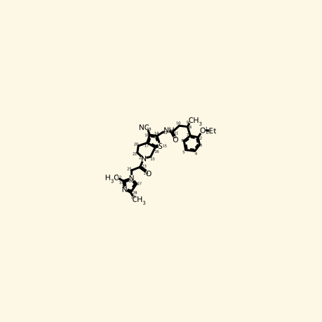 CCOc1ccccc1C(C)CC(=O)Nc1sc2c(c1C#N)CCN(C(=O)Cn1cc(C)nc1C)C2